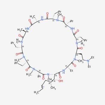 C/C=C/C[C@@H](C)[C@@H](O)[C@H]1C(=O)N[C@@H](CC)C(=O)N(C)[C@H](CCN(CC)CC)C(=O)N(C)[C@@H](CC(C)C)C(=O)N[C@@H](C(C)C)C(=O)N(C)[C@@H](CC(C)C)C(=O)N[C@@H](C)C(=O)N[C@H](C)C(=O)N(C)[C@@H](CC(C)C)C(=O)N(C)[C@@H](CC(C)C)C(=O)N(C)[C@@H](C(C)C)C(=O)N1C